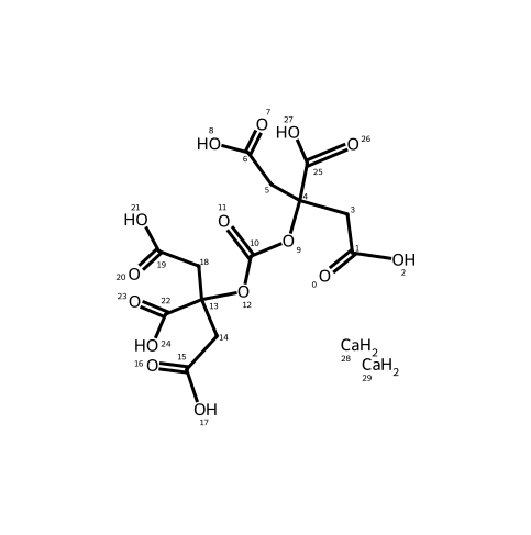 O=C(O)CC(CC(=O)O)(OC(=O)OC(CC(=O)O)(CC(=O)O)C(=O)O)C(=O)O.[CaH2].[CaH2]